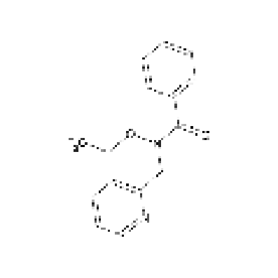 O=C(c1ccccc1)N(Cc1ccccn1)OCC(F)(F)F